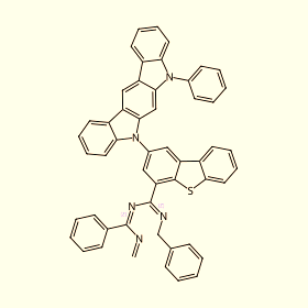 C=N/C(=N\C(=N/Cc1ccccc1)c1cc(-n2c3ccccc3c3cc4c5ccccc5n(-c5ccccc5)c4cc32)cc2c1sc1ccccc12)c1ccccc1